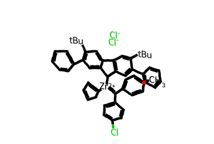 Cc1ccc(/[C](c2ccc(Cl)cc2)=[Zr+2](/[C]2=CC=CC2)[CH]2c3cc(-c4ccccc4)c(C(C)(C)C)cc3-c3cc(C(C)(C)C)c(-c4ccccc4)cc32)cc1.[Cl-].[Cl-]